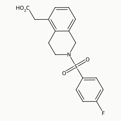 O=C(O)Cc1cccc2c1CCN(S(=O)(=O)c1ccc(F)cc1)C2